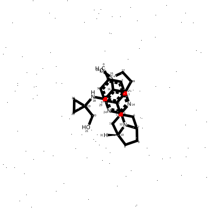 Cc1ccc(N2CC3CC[C@H](C2)N3c2nc3c(c(NC4(CO)CC4)n2)[S+]([O-])CC3)cc1